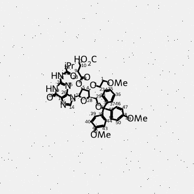 COCCO[C@H]1[C@@H](OC(=O)CCC(=O)O)[C@H](n2cnc3c(=O)[nH]c(NC(=O)C(C)C)nc32)O[C@@H]1COC(c1ccccc1)(c1ccc(OC)cc1)c1ccc(OC)cc1